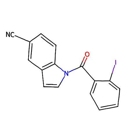 N#Cc1ccc2c(ccn2C(=O)c2ccccc2I)c1